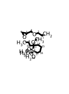 C=CCOCC1CO1.CCCC1(OC)CCCC[Si]1(OC)OC.O